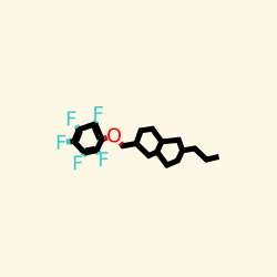 CCCC1CCC2CC(COc3c(F)c(F)c(F)c(F)c3F)CCC2C1